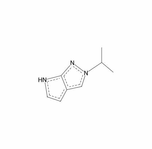 CC(C)n1cc2cc[nH]c2n1